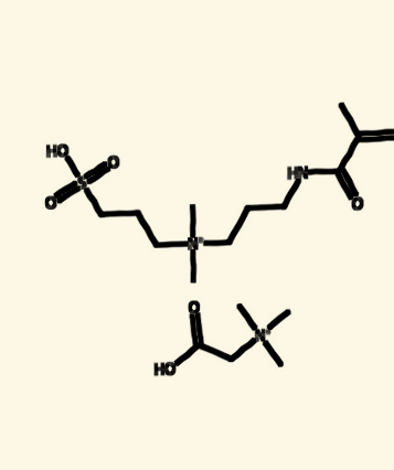 C=C(C)C(=O)NCCC[N+](C)(C)CCCS(=O)(=O)O.C[N+](C)(C)CC(=O)O